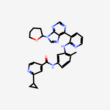 Cc1ccc(NC(=O)c2ccnc(C3CC3)c2)cc1Nc1ncccc1-c1ncnc2c1ncn2C1CCCCO1